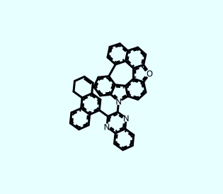 C1=Cc2cc(-c3nc4ccccc4nc3-n3c4cccc5c4c4c6c(ccc43)oc3ccc4cccc-5c4c36)c3ccccc3c2CC1